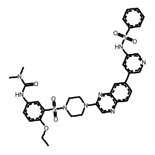 CCOc1ccc(NC(=O)N(C)C)cc1S(=O)(=O)N1CCN(c2cnc3ccc(-c4cncc(NS(=O)(=O)c5ccccc5)c4)cc3n2)CC1